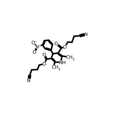 CC1=C(C(=O)OCCCC#N)C(c2cccc([N+](=O)[O-])c2)C(C(=O)OCCCC#N)=C(C)N1